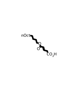 CCCCCCCCCCCCOC(=O)C=CCC(=O)O